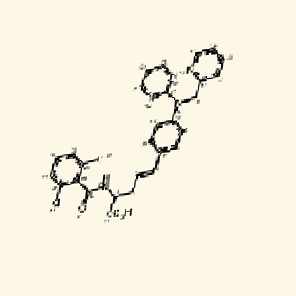 O=C(NC(C/C=C/c1ccc(N(Cc2ccccn2)c2ncccn2)cc1)C(=O)O)c1c(Cl)cccc1Cl